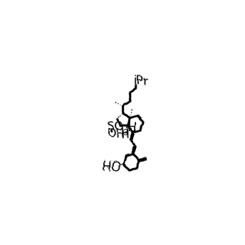 C=C1CC[C@H](O)CC1=CC=C1CCC[C@]2(C)[C@@H]([C@H](C)CCCC(C)C)CC[C@@H]12.O=S(=O)(O)O